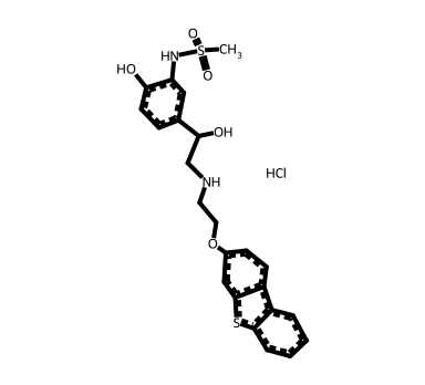 CS(=O)(=O)Nc1cc(C(O)CNCCOc2ccc3c(c2)sc2ccccc23)ccc1O.Cl